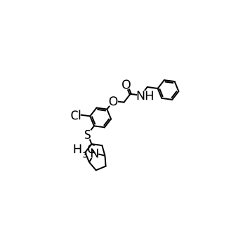 CN1C2CCC1CC(Sc1ccc(OCC(=O)NCc3ccccc3)cc1Cl)C2